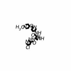 CN1CCC(Oc2ccc(NC(=O)c3n[nH]cc3NC(=O)c3cncc(Cl)c3)cn2)CC1